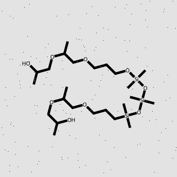 CC(O)COC(C)COCCCO[Si](C)(C)O[Si](C)(C)O[Si](C)(C)CCCOCC(C)OCC(C)O